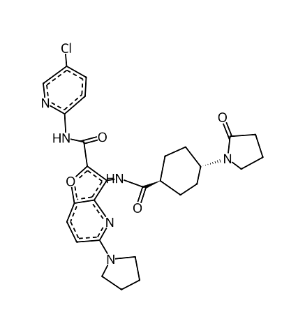 O=C(Nc1ccc(Cl)cn1)c1oc2ccc(N3CCCC3)nc2c1NC(=O)[C@H]1CC[C@H](N2CCCC2=O)CC1